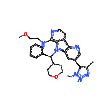 COCCNc1nccc2c3ncc(-c4c(C)nnn4C)cc3n([C@H](c3ccccc3)C3CCOCC3)c12